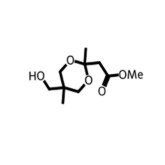 COC(=O)CC1(C)OCC(C)(CO)CO1